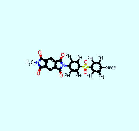 [2H]c1c([2H])c(S(=O)(=O)c2c([2H])c([2H])c(-n3c(=O)c4cc5c(=O)n(C)c(=O)c5cc4c3=O)c([2H])c2[2H])c([2H])c([2H])c1NC